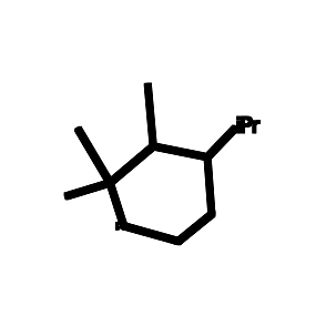 CC(C)C1CC[C]C(C)(C)C1C